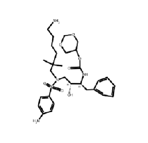 CC(C)(CCCCN)CN(C[C@@H](O)[C@H](Cc1ccccc1)NC(=O)OC1COCOC1)S(=O)(=O)c1ccc(N)cc1